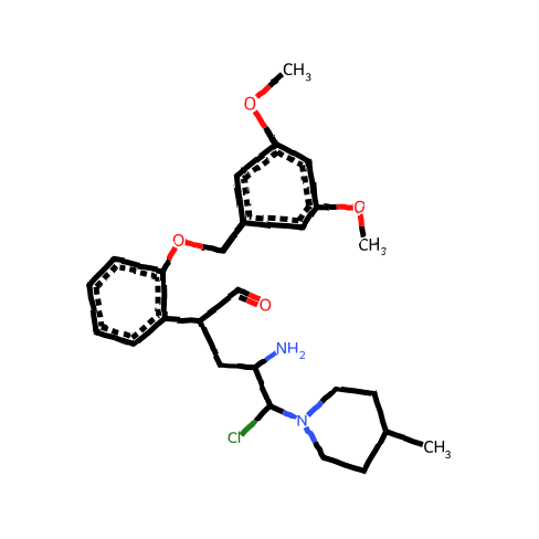 COc1cc(COc2ccccc2C(C=O)CC(N)C(Cl)N2CCC(C)CC2)cc(OC)c1